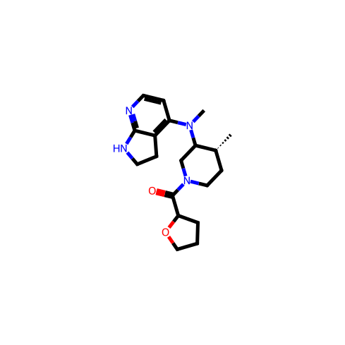 C[C@@H]1CCN(C(=O)C2CCCO2)CC1N(C)c1ccnc2c1CCN2